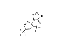 O=c1[nH]nnn1-c1ncc(C(F)(F)F)cc1C(F)(F)F